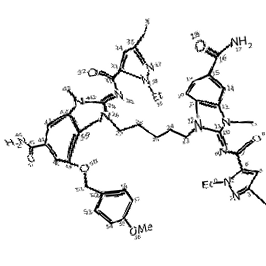 CCn1nc(C)cc1C(=O)/N=c1\n(C)c2cc(C(N)=O)ccc2n1CCCCCn1/c(=N/C(=O)c2cc(C)nn2CC)n(C)c2cc(C(N)=O)cc(OCc3ccc(OC)cc3)c21